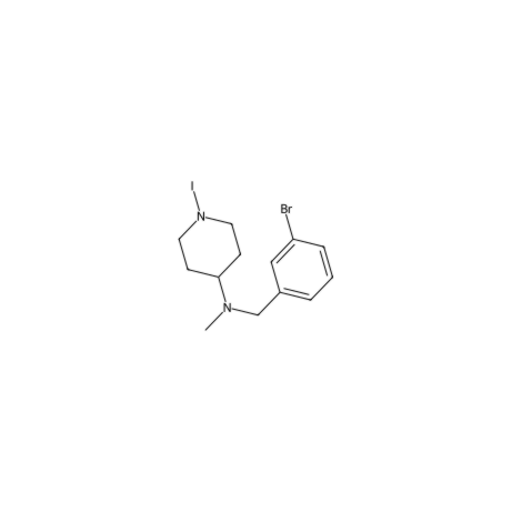 CN(Cc1cccc(Br)c1)C1CCN(I)CC1